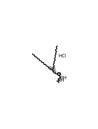 CCCCCCCCCCCCCCCCOCC(COCc1cccc(C(O)CNC(C)C)c1)OCCCCCCCCCCCCCCCC.Cl